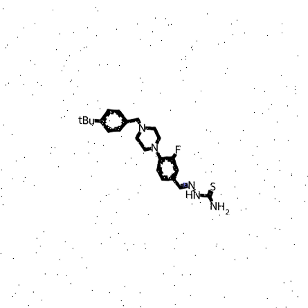 CC(C)(C)c1ccc(CN2CCN(c3ccc(/C=N/NC(N)=S)cc3F)CC2)cc1